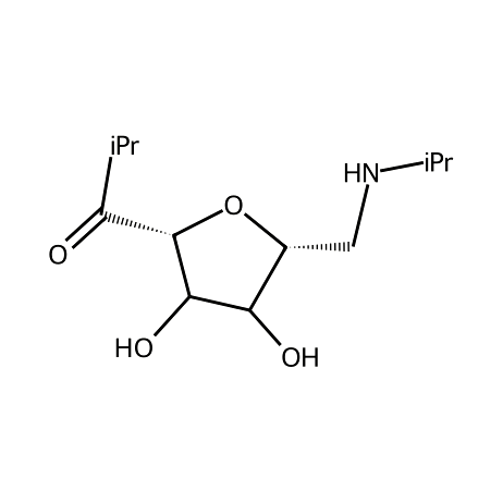 CC(C)NC[C@H]1O[C@@H](C(=O)C(C)C)C(O)C1O